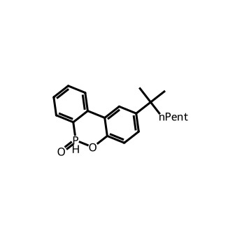 CCCCCC(C)(C)c1ccc2c(c1)-c1ccccc1[PH](=O)O2